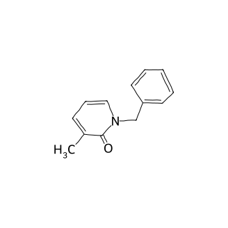 Cc1cccn(Cc2ccccc2)c1=O